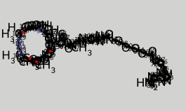 CO[C@H]1C[C@@H]2CC[C@@H](C)[C@@](O)(O2)C(=O)C(=O)N2CCCC[C@H]2C(=O)O[C@H]([C@H](N)C[C@@H]2CC[C@@H](OC(=O)N(C)Cc3cnc(N4CCN(c5ncc(C(=O)NCCOCCOCCOCCOCCC(=O)N6CCc7cc(Cn8nc(-c9cnc%10[nH]ccc%10c9)c9c(N)ncnc98)ccc7C6)cn5)CC4)nc3)[C@H](OC)C2)CC(=O)[C@H](C)/C=C(\C)[C@@H](O)[C@@H](O)C(=O)[C@H](C)C[C@H](C)/C=C/C=C/C=C/1C